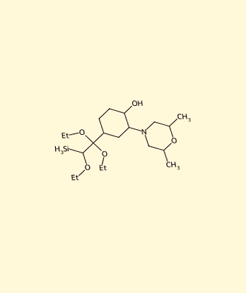 CCOC([SiH3])C(OCC)(OCC)C1CCC(O)C(N2CC(C)OC(C)C2)C1